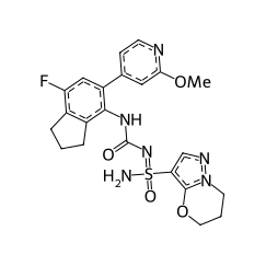 COc1cc(-c2cc(F)c3c(c2NC(=O)N=S(N)(=O)c2cnn4c2OCCC4)CCC3)ccn1